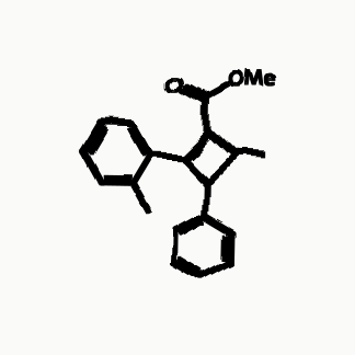 COC(=O)C1C(C)C(c2ccccc2)C1c1ccccc1C